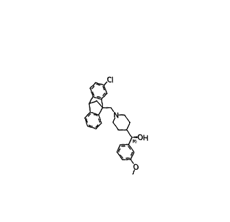 COc1cccc([C@H](O)C2CCN(CC34CC(c5ccccc53)c3ccc(Cl)cc34)CC2)c1